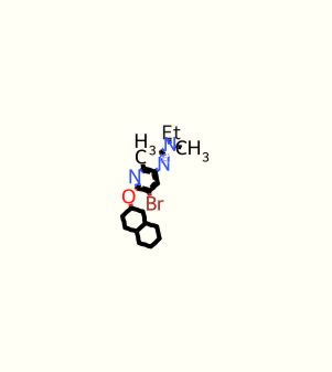 CCN(C)/C=N/c1cc(Br)c(OC2CCC3CCCCC3C2)nc1C